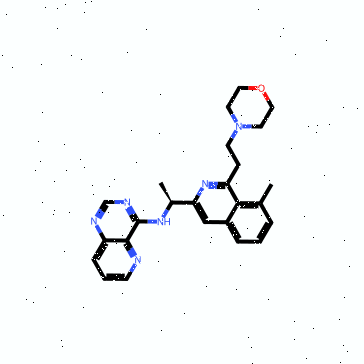 Cc1cccc2cc([C@H](C)Nc3ncnc4cccnc34)nc(CCN3CCOCC3)c12